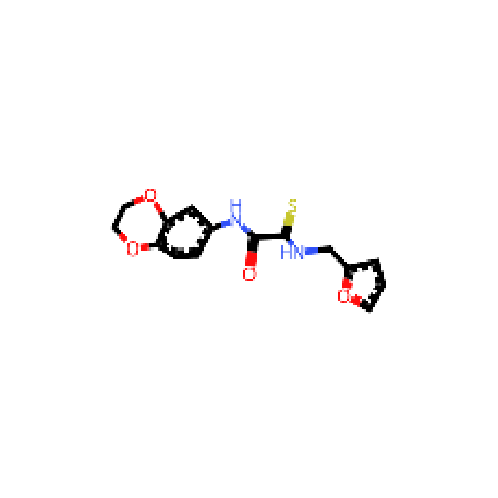 O=C(Nc1ccc2c(c1)OCCO2)C(=S)NCc1ccco1